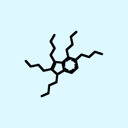 CCCC[C]1C(CCCC)=C(CCCC)c2c1ccc(CCCC)c2CCCC